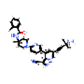 Cc1ccccc1C(=O)NC1(C)CCN(c2ccc(-c3cc(C#CC(C)(C)N)cn4ncc(C#N)c34)cn2)CC1